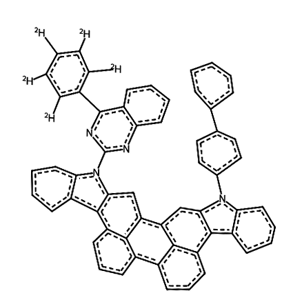 [2H]c1c([2H])c([2H])c(-c2nc(-n3c4ccccc4c4c5cccc6c7cccc8c7c(cc7c8c8ccccc8n7-c7ccc(-c8ccccc8)cc7)c(cc43)c65)nc3ccccc23)c([2H])c1[2H]